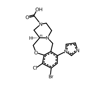 O=C(O)N1CCN2Cc3c(-n4ccnc4)cc(Br)c(Cl)c3OC[C@H]2C1